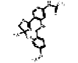 COc1ccc(CNc2cc(NC(C)=O)ncc2C2=NC(C)(C)CS2)cc1